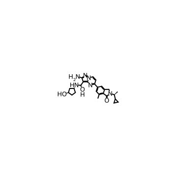 Cc1cc(-c2ccn3nc(N)c(C(O)N[C@@H]4CC[C@@H](O)C4)c3n2)cc2c1C(=O)N([C@@H](C)C1CC1)C2